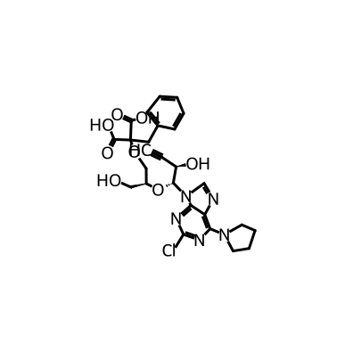 C#C[C@@H](O)[C@@H](O[C@@H](CO)COC(Cc1ccccc1)(C(=O)O)C(=O)O)n1cnc2c(N3CCCC3)nc(Cl)nc21